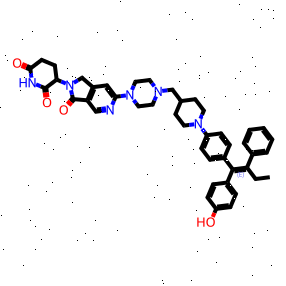 CC/C(=C(\c1ccc(O)cc1)c1ccc(N2CCC(CN3CCN(c4cc5c(cn4)C(=O)N(C4CCC(=O)NC4=O)C5)CC3)CC2)cc1)c1ccccc1